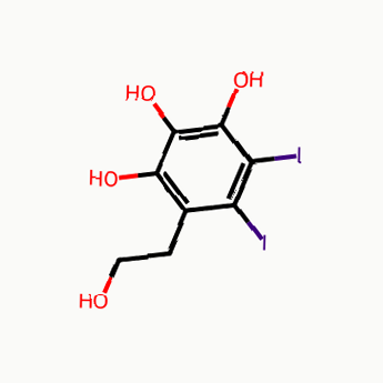 OCCc1c(O)c(O)c(O)c(I)c1I